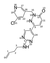 C=CCCNc1ncc(-c2ccc(=O)n(Cc3cncc(Cl)c3)n2)cn1